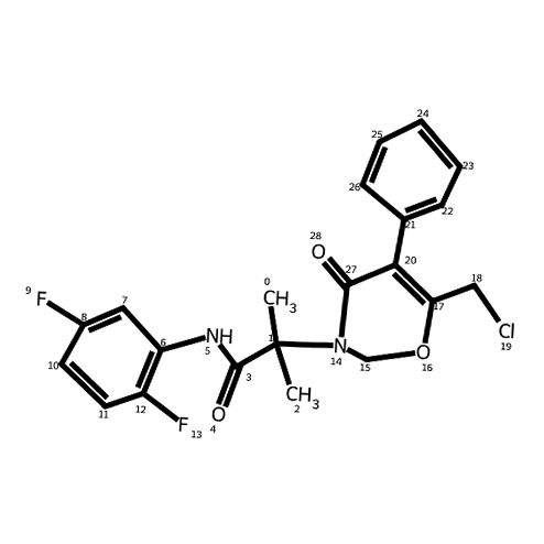 CC(C)(C(=O)Nc1cc(F)ccc1F)N1COC(CCl)=C(c2ccccc2)C1=O